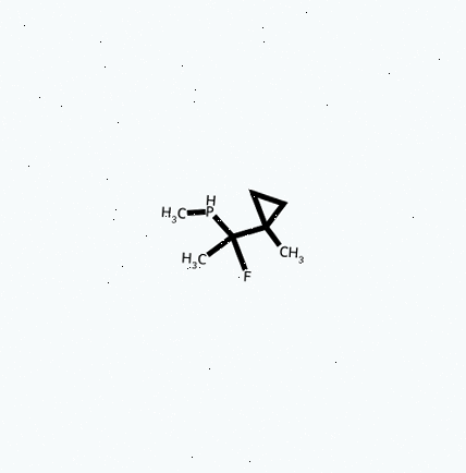 CPC(C)(F)C1(C)CC1